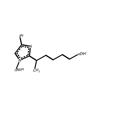 CCCCCCCCCCCCCCC(C)c1nc(C(C)C)cn1CCCCCCCCC